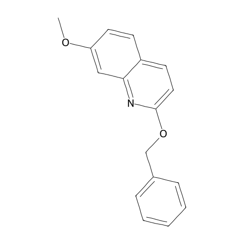 COc1ccc2ccc(OCc3ccccc3)nc2c1